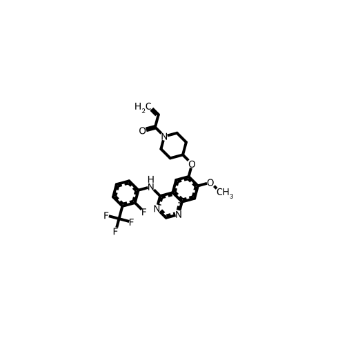 C=CC(=O)N1CCC(Oc2cc3c(Nc4cccc(C(F)(F)F)c4F)ncnc3cc2OC)CC1